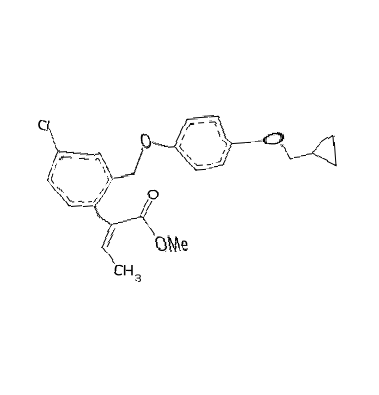 CC=C(C(=O)OC)c1ccc(Cl)cc1COc1ccc(OCC2CC2)cc1